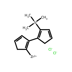 C[Si](C)(C)C1=C(C2=[C]([Zr+2])CC=C2)CC=C1.[Cl-].[Cl-]